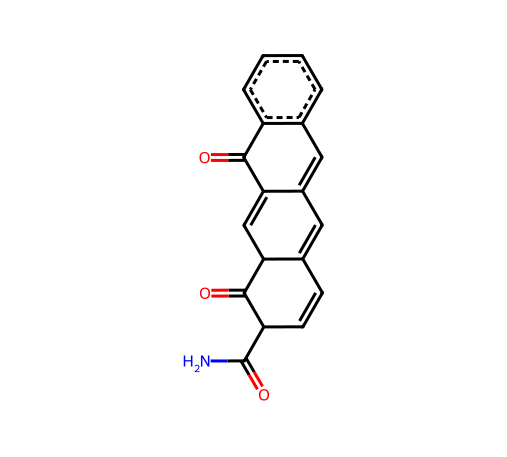 NC(=O)C1C=CC2=CC3=Cc4ccccc4C(=O)C3=CC2C1=O